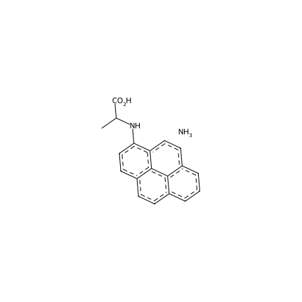 CC(Nc1ccc2ccc3cccc4ccc1c2c34)C(=O)O.N